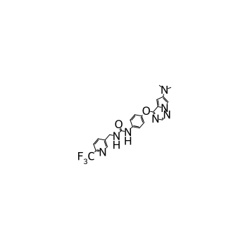 CN(C)c1cc2c(Oc3ccc(NC(=O)NCc4ccc(C(F)(F)F)nc4)cc3)ncnn2c1